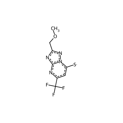 COCc1nc2nc(C(F)(F)F)cc([S])n2n1